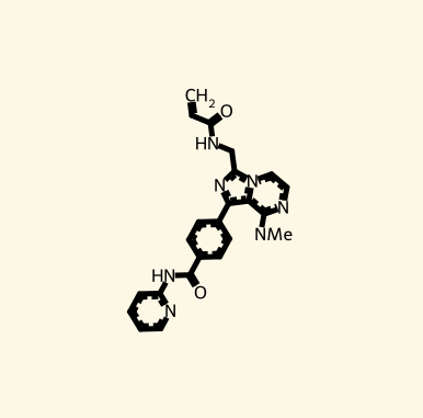 C=CC(=O)NCc1nc(-c2ccc(C(=O)Nc3ccccn3)cc2)c2c(NC)nccn12